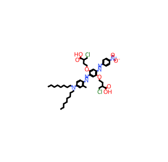 CCCCCCCCN(CCCCCCCC)c1ccc(N=Nc2cc(OCCC(CCl)C(=O)O)c(N=Nc3ccc([N+](=O)[O-])cc3)cc2OCCC(CCl)C(=O)O)c(C)c1